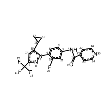 O=C(Nc1ccc(-n2nc(C(F)(F)F)cc2C2CC2)c(F)c1)c1ccncc1